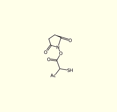 CC(=O)C(S)C(=O)ON1C(=O)CCC1=O